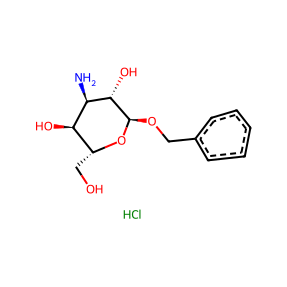 Cl.N[C@H]1[C@H](O)[C@@H](OCc2ccccc2)O[C@H](CO)[C@H]1O